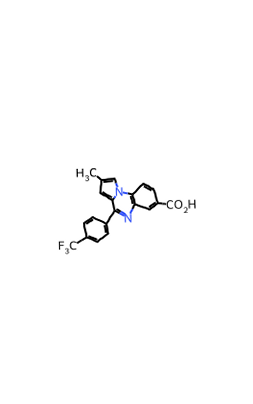 Cc1cc2c(-c3ccc(C(F)(F)F)cc3)nc3cc(C(=O)O)ccc3n2c1